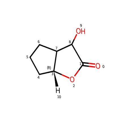 O=C1O[C@@H]2CCCC2C1O